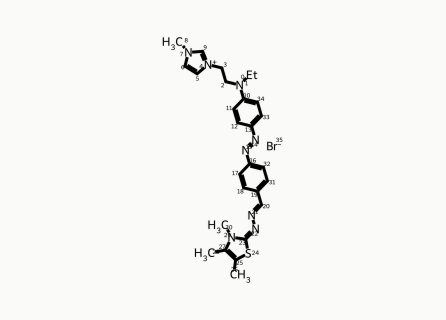 CCN(CC[n+]1ccn(C)c1)c1ccc(/N=N/c2ccc(/C=N/N=c3/sc(C)c(C)n3C)cc2)cc1.[Br-]